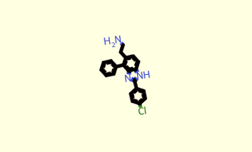 NCCc1ccc2[nH]c(-c3ccc(Cl)cc3)nc2c1-c1ccccc1